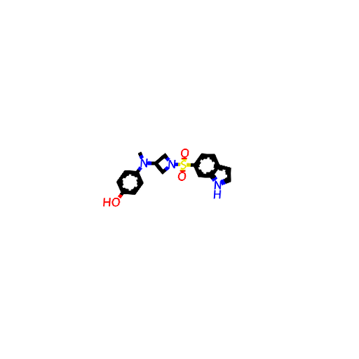 CN(c1ccc(O)cc1)C1CN(S(=O)(=O)c2ccc3cc[nH]c3c2)C1